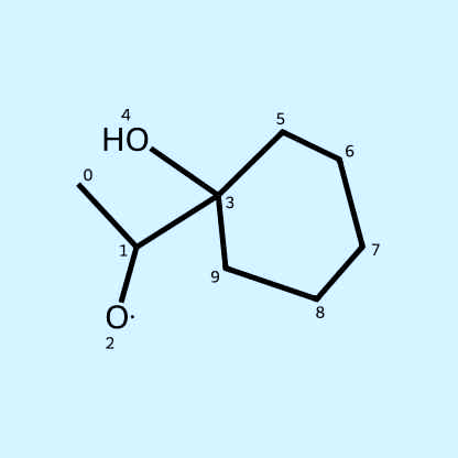 CC([O])C1(O)CCCCC1